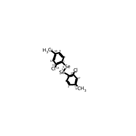 Cc1ccc([Se][Se]c2ccc(C)cc2Cl)c(Cl)c1